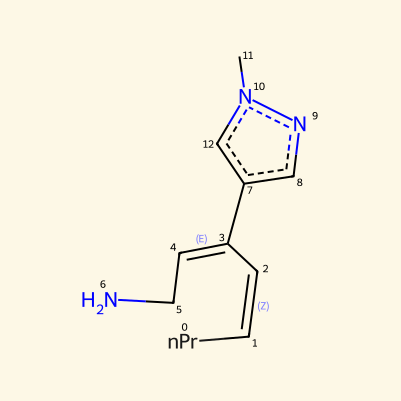 CCC/C=C\C(=C/CN)c1cnn(C)c1